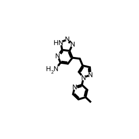 Cc1ccnc(-n2cc(Cc3cc(N)nc4[nH]nnc34)cn2)c1